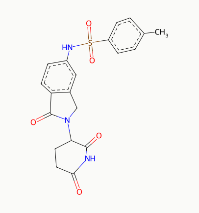 Cc1ccc(S(=O)(=O)Nc2ccc3c(c2)CN(C2CCC(=O)NC2=O)C3=O)cc1